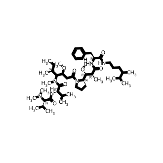 CC[C@H](C)C(C(CC(=O)N1CCC[C@H]1[C@H](OC)[C@@H](C)C(=O)N[C@@H](Cc1ccccc1)C(=O)NCCCC(C)C(C)C)OC)N(C)C(=O)[C@@H](NC(=O)[C@H](C(C)C)N(C)C)C(C)C